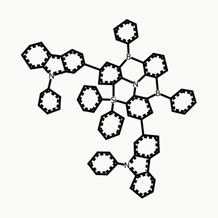 c1ccc(B2c3cccc4c3N3c5c2cc(-c2ccc6c7ccccc7n(-c7ccccc7)c6c2)cc5[Si](c2ccccc2)(c2ccccc2)c2cc(-c5ccc6c7ccccc7n(-c7ccccc7)c6c5)cc(c23)B4c2ccccc2)cc1